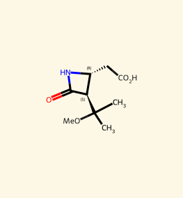 COC(C)(C)[C@H]1C(=O)N[C@@H]1CC(=O)O